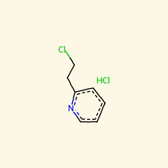 Cl.ClCCc1ccccn1